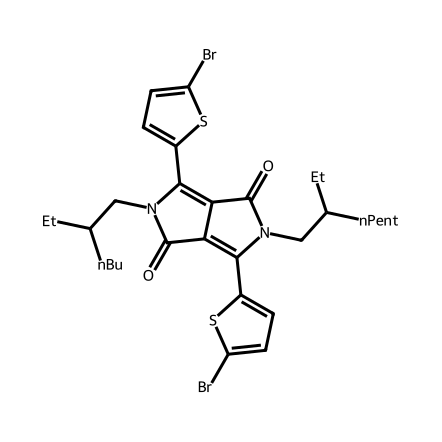 CCCCCC(CC)CN1C(=O)C2=C(c3ccc(Br)s3)N(CC(CC)CCCC)C(=O)C2=C1c1ccc(Br)s1